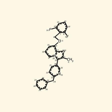 Cc1nc2c(OCc3c(F)cccc3F)cccn2c1-c1ccc(Cc2ccccc2)nc1